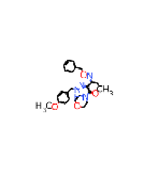 CCC(=NOCc1ccccc1)C(=NNCc1ccc(OC)cc1)C(=O)N1CCOCC1